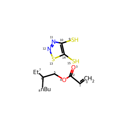 C=CC(=O)OCC(CC)CCCC.Sc1nnsc1S